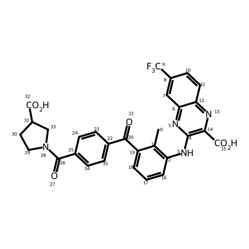 Cc1c(Nc2nc3cc(C(F)(F)F)ccc3nc2C(=O)O)cccc1C(=O)c1ccc(C(=O)N2CCC(C(=O)O)C2)cc1